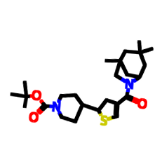 CC1(C)CC2CC(C)(CN2C(=O)C2=CSC(C3CCN(C(=O)OC(C)(C)C)CC3)C2)C1